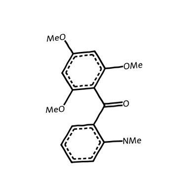 CNc1ccccc1C(=O)c1c(OC)cc(OC)cc1OC